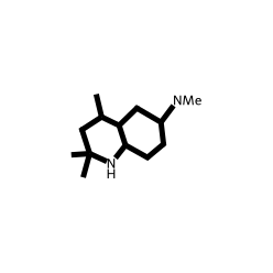 CNC1CCC2NC(C)(C)CC(C)C2C1